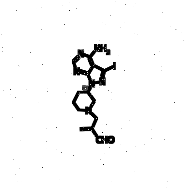 C=C(C=O)CN1CCC[C@@H](n2nc(I)c3c(N)ncnc32)C1